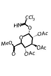 COC(=O)C1O[C@H](OC(=N)C(Cl)(Cl)Cl)[C@H](OC(C)=O)[C@@H](OC(C)=O)[C@@H]1OC(C)=O